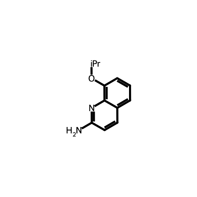 CC(C)Oc1cccc2ccc(N)nc12